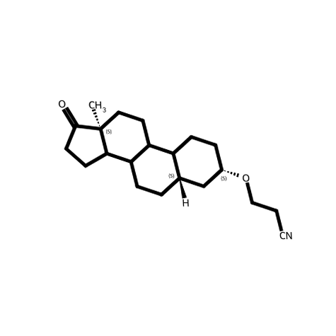 C[C@]12CCC3C(CC[C@H]4C[C@@H](OCCC#N)CCC34)C1CCC2=O